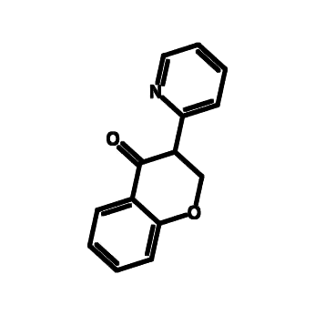 O=C1c2ccccc2OCC1c1ccccn1